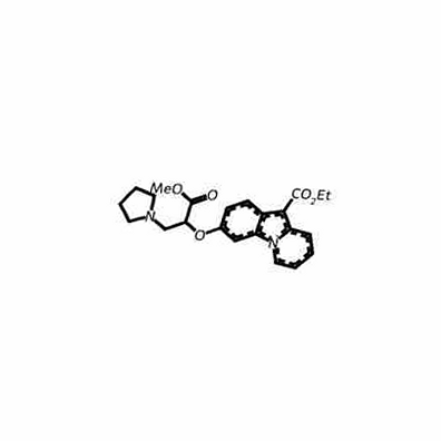 CCOC(=O)c1c2ccc(OC(CN3CCCC3)C(=O)OC)cc2n2ccccc12